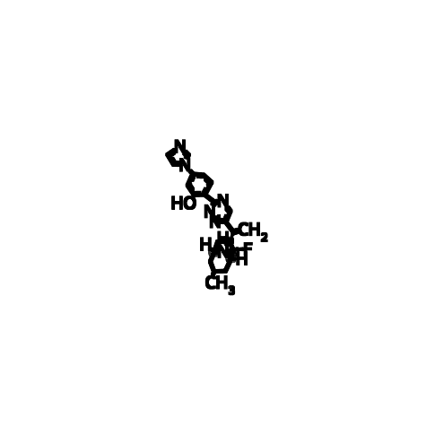 C=C(c1cnc(-c2ccc(-n3ccnc3)cc2O)nn1)[C@H]1C[C@@H]2CC(C)C[C@@H](N2)[C@@H]1F